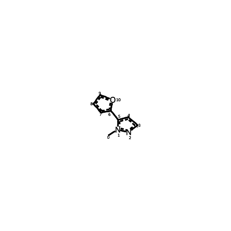 Cn1n[c]cc1-c1ccco1